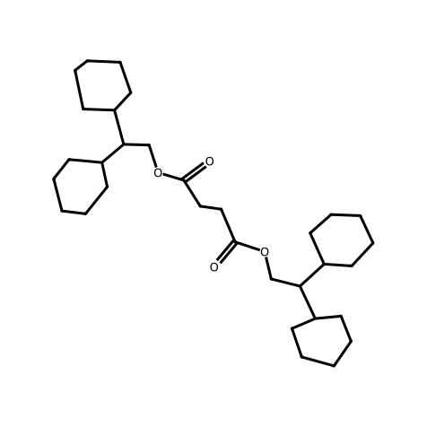 O=C(CCC(=O)OCC(C1CCCCC1)C1CCCCC1)OCC(C1CCCCC1)C1CCCCC1